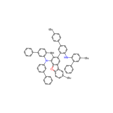 CC(C)(C)c1ccc(-c2ccc(Nc3ccc(C(C)(C)C)cc3-c3ccccc3)c(-c3cc4c(oc5ccc(C(C)(C)C)cc54)c4c3Bc3ccc(-c5ccccc5)cc3N4c3cccc(-c4ccccc4)c3)c2)cc1